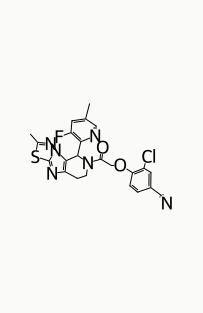 Cc1cnc(C2c3c(nc4sc(C)nn34)CCN2C(=O)COc2ccc(C#N)cc2Cl)c(F)c1